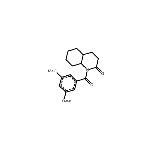 COc1cc(OC)cc(C(=O)N2C(=O)CCC3CCCCC32)c1